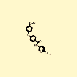 COc1ccc(Oc2ccc(C(=O)NC3CN4CCC3CC4C)cc2)cc1